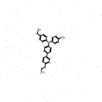 CCCc1ccc(-c2ccc(N(c3ccc(C)cc3)c3ccc(CO)cc3)cc2)cc1